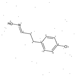 ON=CCCc1ccc(Cl)cc1